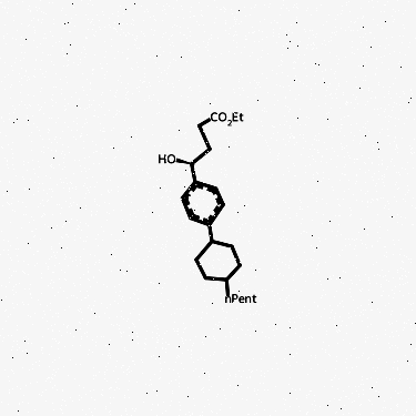 CCCCCC1CCC(c2ccc([C@@H](O)CCC(=O)OCC)cc2)CC1